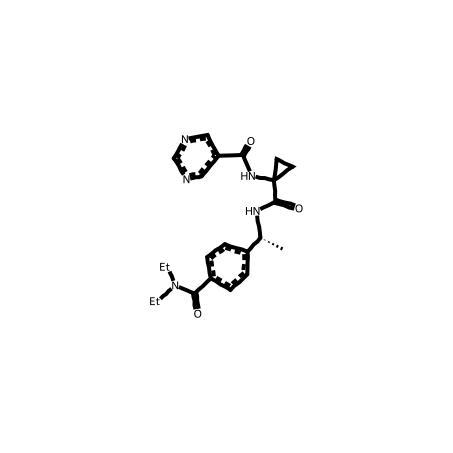 CCN(CC)C(=O)c1ccc([C@@H](C)NC(=O)C2(NC(=O)c3cncnc3)CC2)cc1